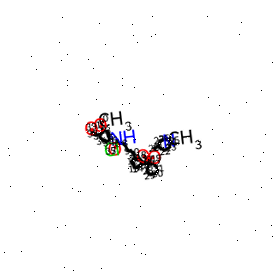 COc1cc(NC(=O)CCCc2cccc(C3(C(=O)OCC4CCN(C)CC4)CCCCC3)c2)c(Cl)cc1C=O